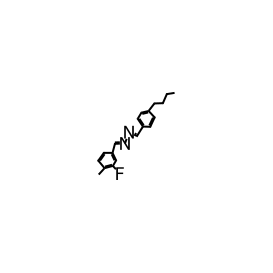 CCCCc1ccc(C=NN=Cc2ccc(C)c(F)c2)cc1